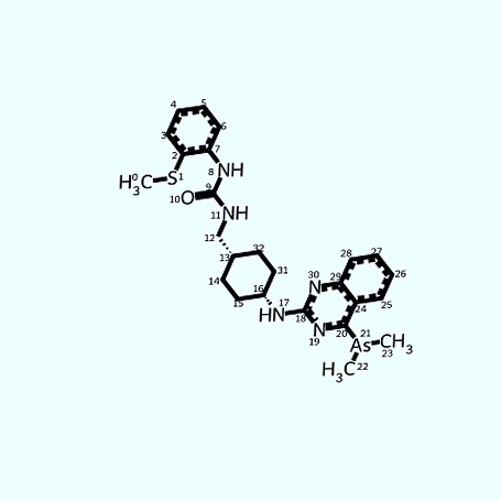 CSc1ccccc1NC(=O)NC[C@H]1CC[C@@H](Nc2nc([As](C)C)c3ccccc3n2)CC1